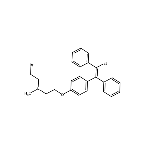 CC/C(=C(\c1ccccc1)c1ccc(OCCN(C)CCBr)cc1)c1ccccc1